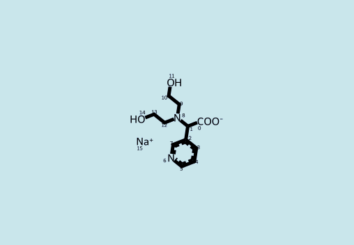 O=C([O-])C(c1cccnc1)N(CCO)CCO.[Na+]